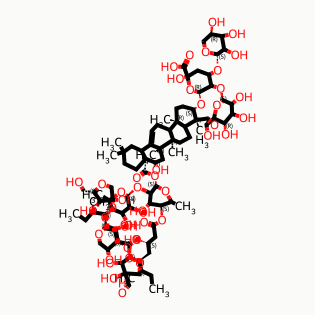 CC[C@H](C)[C@H](C[C@H](O)CC(=O)O[C@@H]1C(C)O[C@@H](OC(=O)[C@]23CCC(C)(C)CC2C2=CCC4[C@@]5(C)CC[C@H](O[C@@H]6OC(O)(C(=O)O)CC(O[C@@H]7OC[C@@H](O)C(O)C7O)C6O[C@@H]6OC(CO)[C@H](O)C(O)C6O)[C@@](C)(C=O)C5CC[C@@]4(C)[C@]2(C)C[C@H]3O)C(O[C@@H]2OC(C)[C@H](O[C@H]3OCC(O)[C@H](O[C@@H]4OCC(O)(CO)C4O)C3O)C(O)C2O)C1O)OC(=O)C[C@@H](O)C[C@H](OC1(O)CO[C@@H](CO)C1O)[C@@H](C)CC